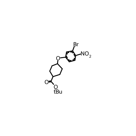 CC(C)(C)OC(=O)C1CCC(Oc2ccc([N+](=O)[O-])c(Br)c2)CC1